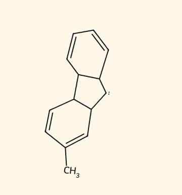 CC1=CC2[C]C3C=CC=CC3C2C=C1